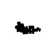 CCCC1CCC(c2ccc(OC(F)(F)C(F)=C(F)F)cc2)CC1